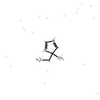 CCC1(C)C=NC=N1